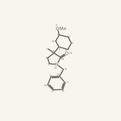 COC1CCCC(C2(C)CCN(Cc3ccccc3)C2=O)C1